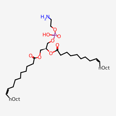 CCCCCCCC/C=C\CCCCCCCC(=O)OC[C@@H](COP(=O)(O)OCCN)OC(=O)CCCCCCC/C=C\CCCCCCCC